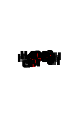 CCC(C(=O)Nc1ccc(C(=O)O[C@@H]2C[C@H](C(=O)O)N(C(=O)O)C2)cc1)n1cc(OC)c(-c2cc(Cl)ccc2C#N)cc1=O